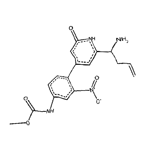 C=CCC(N)c1cc(-c2ccc(NC(=O)OC)cc2[N+](=O)[O-])cc(=O)[nH]1